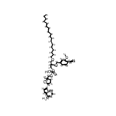 CCCCCCCCCCCCCCCCCCOC[C@H](COP(=O)(O)OC[C@]1(C)CC[C@H](c2ccc3c(N)ncnn23)O1)OCc1ccc(C#N)c(OC)c1